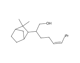 CC(C)/C=C\CCC(CO)C1C2CCC(C2)C1(C)C